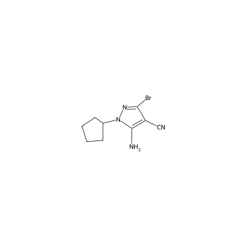 N#Cc1c(Br)nn(C2CCCC2)c1N